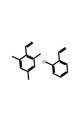 C=Cc1c(C)cc(C)cc1C.C=Cc1ccccc1Cl